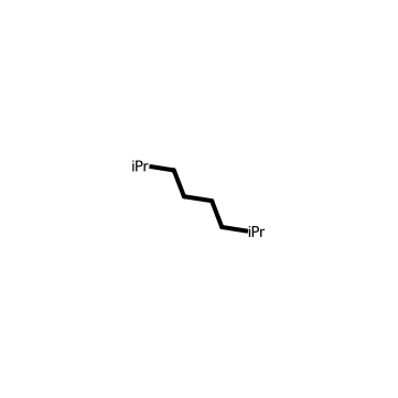 [CH2]C(C)CCCCC(C)C